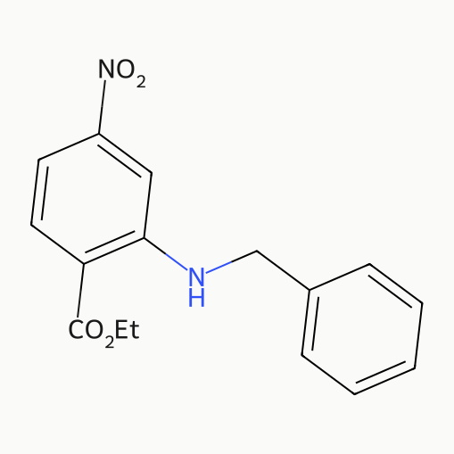 CCOC(=O)c1ccc([N+](=O)[O-])cc1NCc1ccccc1